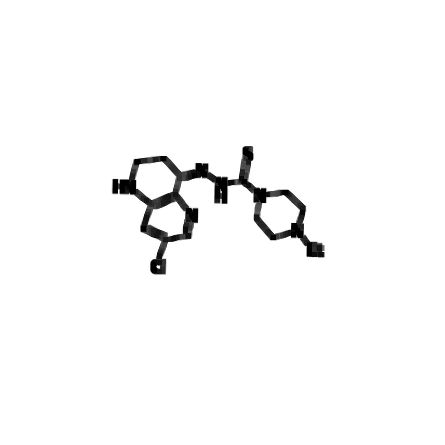 CCN1CCN(C(=S)N/N=C2/CCNc3cc(Cl)cnc32)CC1